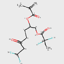 C=C(C)C(=O)OC(CCC(=O)CC(F)F)COC(=O)C(C)(F)F